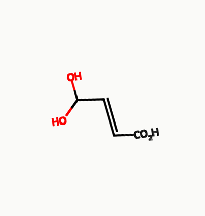 O=C(O)C=CC(O)O